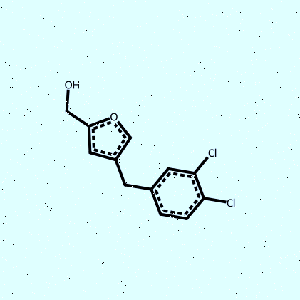 OCc1cc(Cc2ccc(Cl)c(Cl)c2)co1